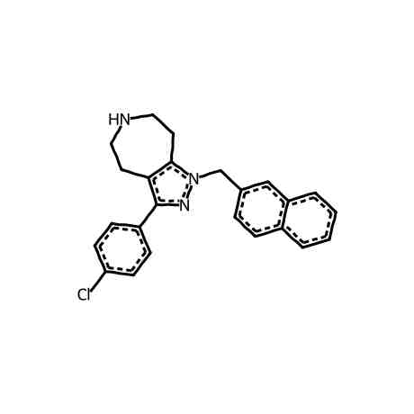 Clc1ccc(-c2nn(Cc3ccc4ccccc4c3)c3c2CCNCC3)cc1